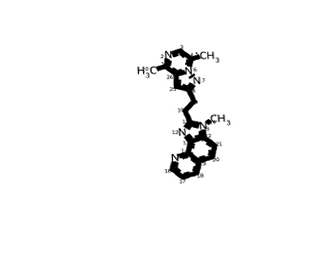 Cc1ncc(C)n2nc(CCc3nc4c5ncccc5ccc4n3C)cc12